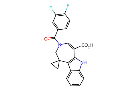 O=C(O)C1=CN(C(=O)c2ccc(F)c(F)c2)CC2(CC2)c2c1[nH]c1ccccc21